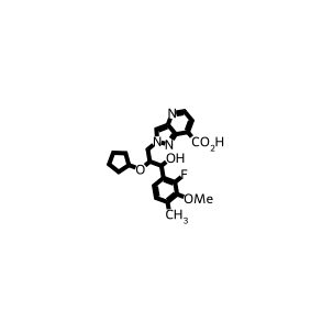 COc1c(C)ccc(C(O)C(Cn2cc3nccc(C(=O)O)c3n2)OC2CCCC2)c1F